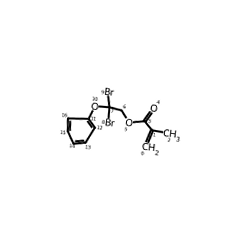 C=C(C)C(=O)OCC(Br)(Br)Oc1ccccc1